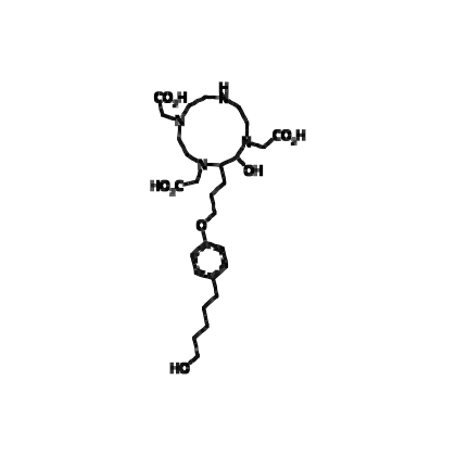 O=C(O)CN1CCNCCN(CC(=O)O)C(O)C(CCCOc2ccc(CCCCCO)cc2)N(CC(=O)O)CC1